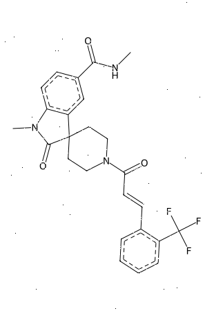 CNC(=O)c1ccc2c(c1)C1(CCN(C(=O)C=Cc3ccccc3C(F)(F)F)CC1)C(=O)N2C